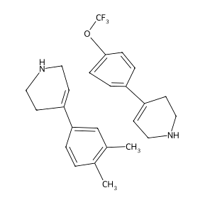 Cc1ccc(C2=CCNCC2)cc1C.FC(F)(F)Oc1ccc(C2=CCNCC2)cc1